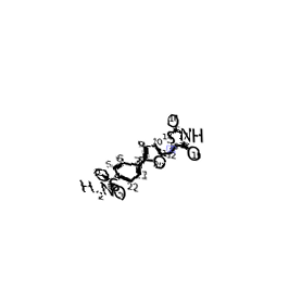 NS(=O)(=O)c1ccc(-c2ccc(/C=C3\SC(=O)NC3=O)o2)cc1